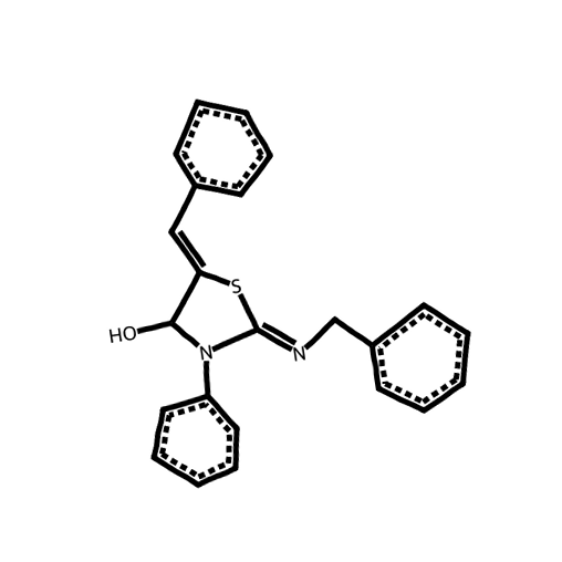 OC1/C(=C/c2ccccc2)S/C(=N\Cc2ccccc2)N1c1ccccc1